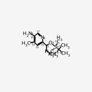 CCC(O[Si](C)(C)C(C)(C)C)c1cc(C)c(N)cn1